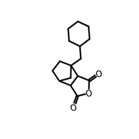 O=C1OC(=O)C2C1C1CCC2(CC2CCCCC2)C1